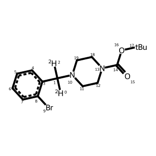 [2H]C([2H])(c1ccccc1Br)N1CCN(C(=O)OC(C)(C)C)CC1